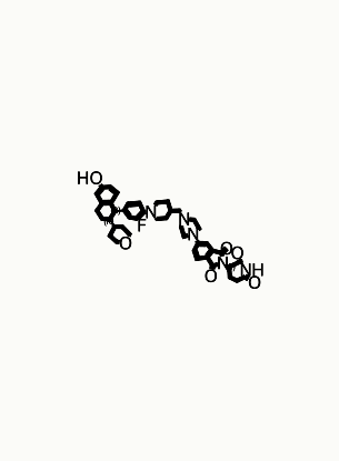 O=C1CC[C@H](N2C(=O)c3ccc(N4CCN(CC5CCN(c6ccc([C@@H]7c8ccc(O)cc8CC[C@@H]7C7CCOCC7)cc6F)CC5)CC4)cc3C2=O)C(=O)N1